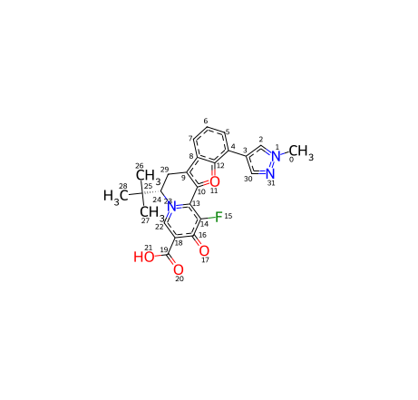 Cn1cc(-c2cccc3c4c(oc23)-c2c(F)c(=O)c(C(=O)O)cn2[C@H](C(C)(C)C)C4)cn1